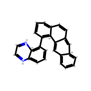 c1ccc2cc3c(ccc4cccc(-c5cccc6nccnc56)c43)cc2c1